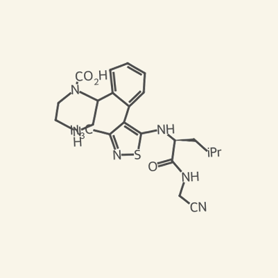 Cc1nsc(N[C@@H](CC(C)C)C(=O)NCC#N)c1-c1ccccc1C1CNCCN1C(=O)O